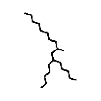 CCCCCCCCC(C)CC(CCCCC)CCCCC